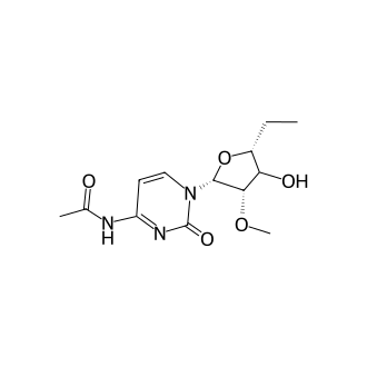 CC[C@H]1O[C@@H](n2ccc(NC(C)=O)nc2=O)[C@@H](OC)C1O